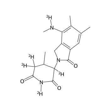 [2H]N1C(=O)C([2H])([2H])C(C)C([2H])(N2Cc3c(cc(C)c(C)c3N([2H])C)C2=O)C1=O